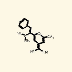 CCCCN(CCCC)C(=Cc1ccccc1)C1=CC(=C(C#N)C#N)C=C(C)O1